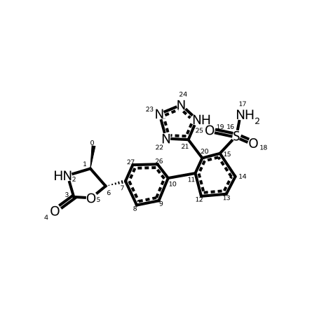 C[C@@H]1NC(=O)O[C@H]1c1ccc(-c2cccc(S(N)(=O)=O)c2-c2nnn[nH]2)cc1